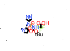 CN1CCC[C@H]1CN(c1cnn(C)c1)S(=O)(=O)NC(=O)OC(C)(C)C.O=C(O)C(F)(F)F